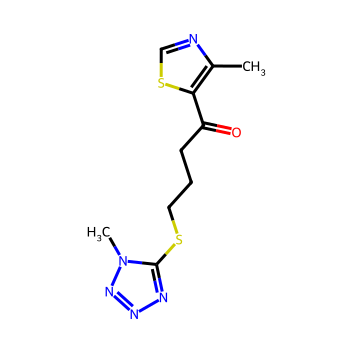 Cc1ncsc1C(=O)CCCSc1nnnn1C